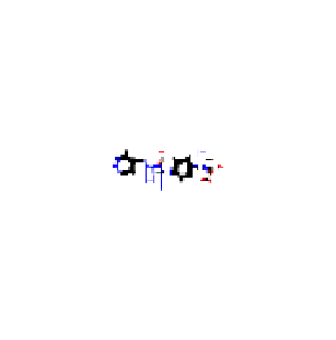 O=C(NCc1ccncc1)Nc1ccc(N[SH](=O)=O)cc1